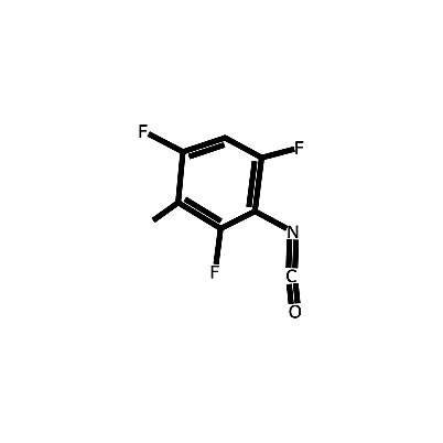 Cc1c(F)cc(F)c(N=C=O)c1F